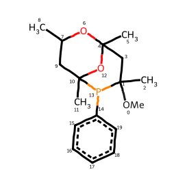 COC1(C)CC2(C)OC(C)CC(C)(O2)P1c1ccccc1